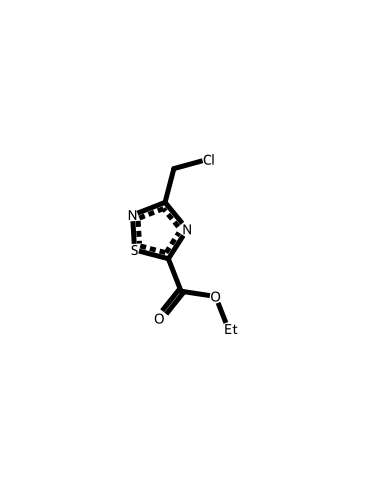 CCOC(=O)c1nc(CCl)ns1